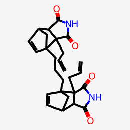 C=CCC12C(=O)NC(=O)C1C1C=CC2(CCCC23C=CC(C2)C2C(=O)NC(=O)C23CC=C)C1